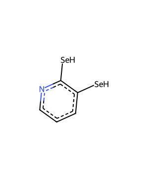 [SeH]c1cccnc1[SeH]